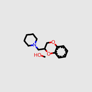 CO.c1ccc2c(c1)OCC(CN1CCCCC1)O2